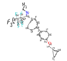 C/N=C(/c1ccc(-c2ccc(OCC3CC3)cc2)cc1)C(F)(F)C(F)(F)C(F)(F)F